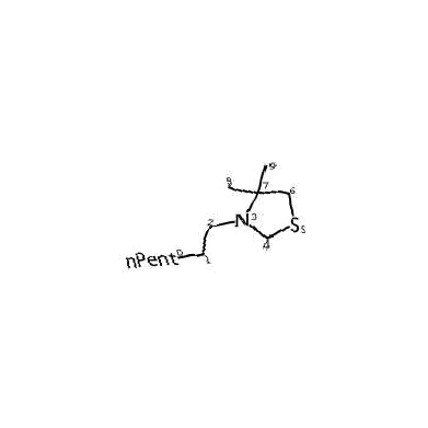 CCCCCCCN1CSCC1(C)C